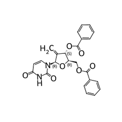 C=C1[C@H](n2ccc(=O)[nH]c2=O)O[C@H](COC(=O)c2ccccc2)[C@H]1OC(=O)c1ccccc1